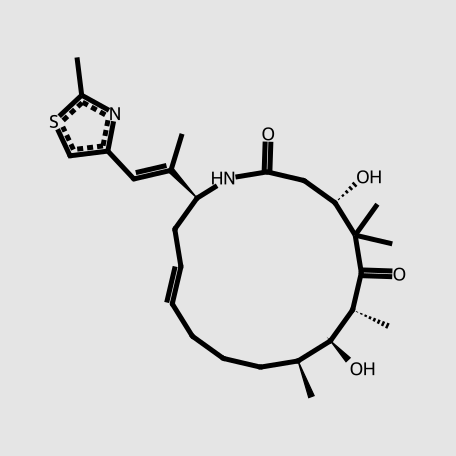 C/C(=C\c1csc(C)n1)[C@@H]1C/C=C/CCC[C@H](C)[C@H](O)[C@@H](C)C(=O)C(C)(C)[C@@H](O)CC(=O)N1